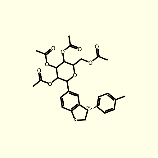 CC(=O)OCC1OC(c2ccc3c(c2)[C@H](c2ccc(C)cc2)CS3)C(OC(C)=O)C(OC(C)=O)C1OC(C)=O